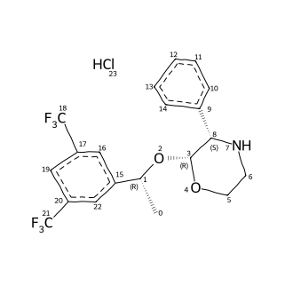 C[C@@H](O[C@H]1OCCN[C@H]1c1ccccc1)c1cc(C(F)(F)F)cc(C(F)(F)F)c1.Cl